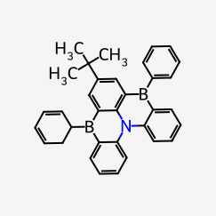 CC(C)(C)c1cc2c3c(c1)B(C1C=CC=CC1)c1ccccc1N3c1ccccc1B2c1ccccc1